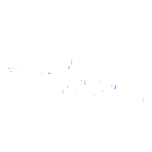 COc1cccc(F)c1O[C@H]1C[C@@H]2CN(CC(O)c3ccc(O)cn3)C[C@@H]2C1